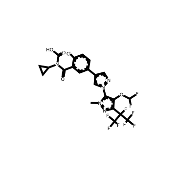 Cn1nc(C(F)(C(F)(F)F)C(F)(F)F)c(OC(F)F)c1-n1cc(-c2ccc(Cl)c(C(=O)N(C(=O)O)C3CC3)c2)cn1